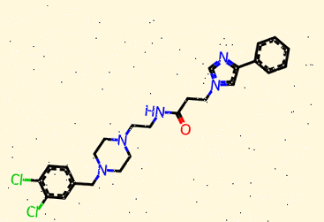 O=C(CCn1cnc(-c2ccccc2)c1)NCCN1CCN(Cc2ccc(Cl)c(Cl)c2)CC1